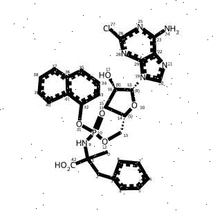 CC(Cc1ccccc1)(NP(=O)(OC[C@@H]1C[C@@H](O)[C@H](n2cnc3c(N)nc(Cl)nc32)O1)Oc1cccc2ccccc12)C(=O)O